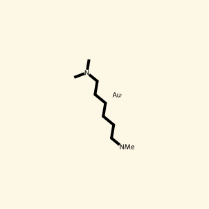 CNCCCCCCN(C)C.[Au]